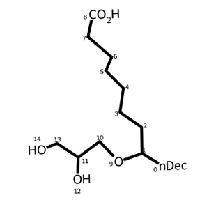 CCCCCCCCCCC(CCCCCCC(=O)O)OCC(O)CO